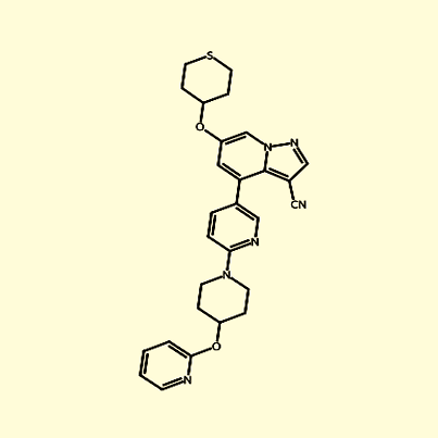 N#Cc1cnn2cc(OC3CCSCC3)cc(-c3ccc(N4CCC(Oc5ccccn5)CC4)nc3)c12